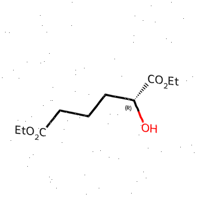 CCOC(=O)CCC[C@@H](O)C(=O)OCC